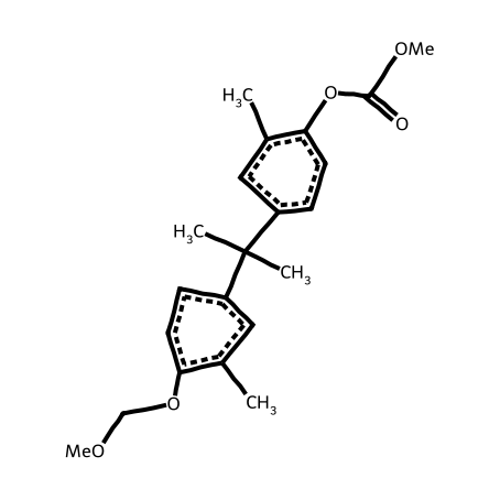 COCOc1ccc(C(C)(C)c2ccc(OC(=O)OC)c(C)c2)cc1C